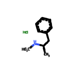 CC(Cc1ccccc1)NC(=O)O.Cl